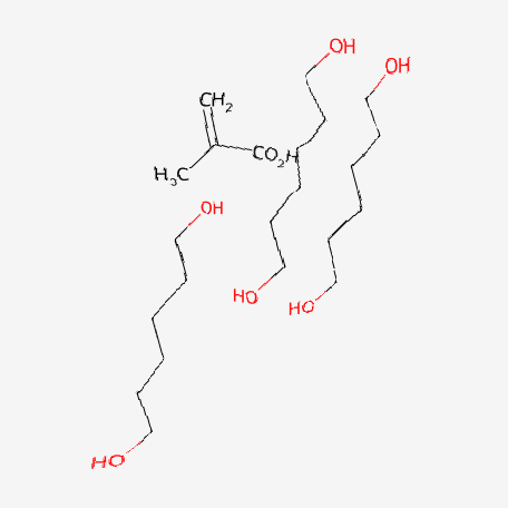 C=C(C)C(=O)O.OCCCCCCO.OCCCCCCO.OCCCCCCO